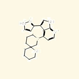 c1cc(N2CCCC3(CCCCN3)C2)c2c(-c3cc[nH]n3)c[nH]c2n1